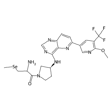 COc1ncc(-c2ccc3ncnc(N[C@H]4CCN(C(=O)C(N)C[Se]C)C4)c3n2)cc1C(F)(F)F